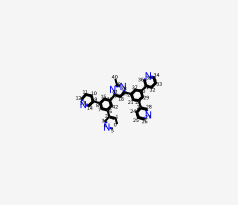 C/C=C(\C=N/C)c1cc(-c2cccnc2)cc(-c2cc(-c3cc(-c4cccnc4)cc(-c4cccnc4)c3)nc(C)n2)c1